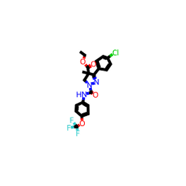 CCOC(=O)C1(C)CN(C(=O)Nc2ccc(OC(F)(F)F)cc2)N=C1c1ccc(Cl)cc1